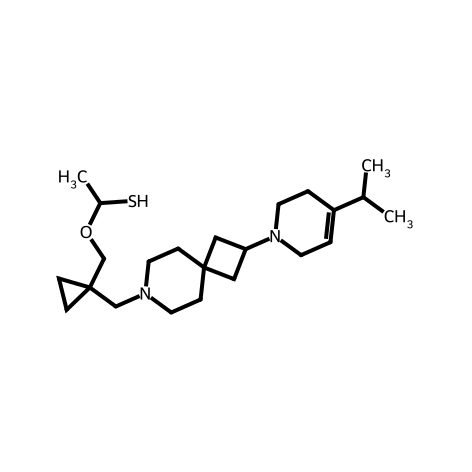 CC(S)OCC1(CN2CCC3(CC2)CC(N2CC=C(C(C)C)CC2)C3)CC1